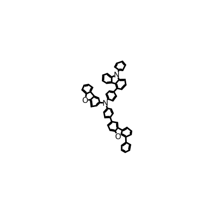 c1ccc(-c2cccc3c2oc2ccc(-c4ccc(N(c5ccc(-c6cccc7c6c6ccccc6n7-c6ccccc6)cc5)c5ccc6oc7ccccc7c6c5)cc4)cc23)cc1